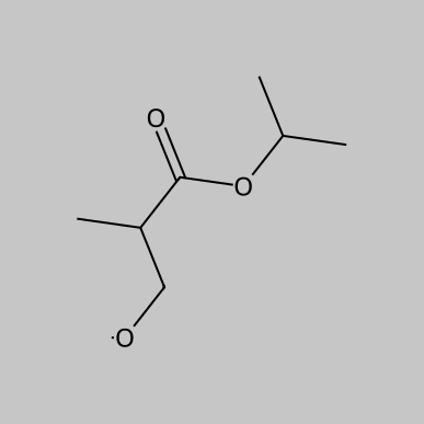 CC(C)OC(=O)C(C)C[O]